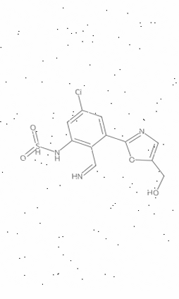 N=Cc1c(N[SH](=O)=O)cc(Cl)cc1-c1ncc(CO)o1